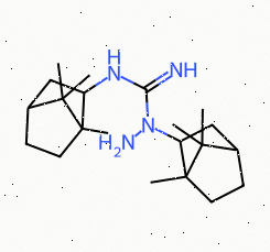 CC1(C)C2CCC1(C)C(NC(=N)N(N)C1CC3CCC1(C)C3(C)C)C2